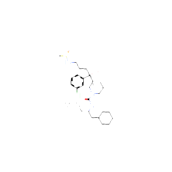 CNC[C@H](CC1CCCCC1)NC(=O)N1CCC[C@@H]([C@@](O)(CCCN[S+](C)[O-])c2cccc(Cl)c2)C1